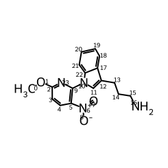 COc1ccc([N+](=O)[O-])c(-n2cc(CCCN)c3ccccc32)n1